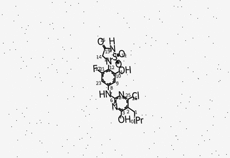 CC(C)Cc1c(O)nc(Nc2cc(O)c(N3CC(=O)NS3(=O)=O)c(F)c2)nc1Cl